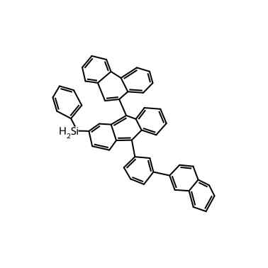 c1ccc([SiH2]c2ccc3c(-c4cccc(-c5ccc6ccccc6c5)c4)c4ccccc4c(-c4cc5ccccc5c5ccccc45)c3c2)cc1